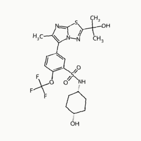 Cc1nc2sc(C(C)(C)O)nn2c1-c1ccc(OC(F)(F)F)c(S(=O)(=O)N[C@H]2CC[C@@H](O)CC2)c1